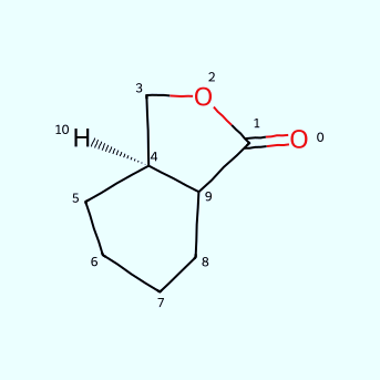 O=C1OC[C@@H]2CCCCC12